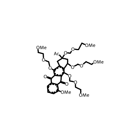 COCCOCOc1c2c(c(OCOCCOC)c3c1C(=O)c1cccc(OC)c1C3=O)C(OCOCCOC)CC(OCOCCOC)(C(C)=O)C2